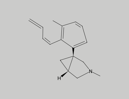 C=C/C=C\c1c(C)cccc1[C@]12C[C@H]1CN(C)C2